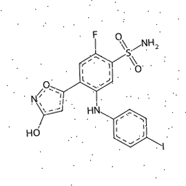 NS(=O)(=O)c1cc(Nc2ccc(I)cc2)c(-c2cc(O)no2)cc1F